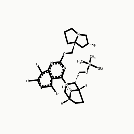 CC(C)(C)[Si](C)(C)OC[C@@H]1[C@@H]2CC[C@H](CN1c1nc(OC[C@@]34CCCN3C[C@H](F)C4)nc3c(F)c(Cl)nc(Br)c13)N2C(=O)O